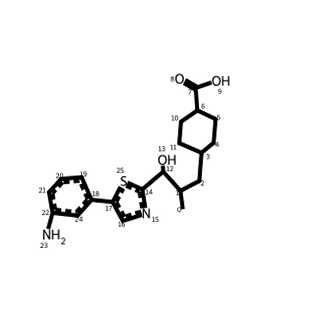 CC(CC1CCC(C(=O)O)CC1)C(O)c1ncc(-c2cccc(N)c2)s1